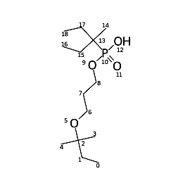 CCC(C)(C)OCCCOP(=O)(O)C(C)(CC)CC